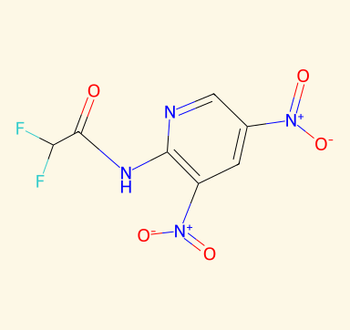 O=C(Nc1ncc([N+](=O)[O-])cc1[N+](=O)[O-])C(F)F